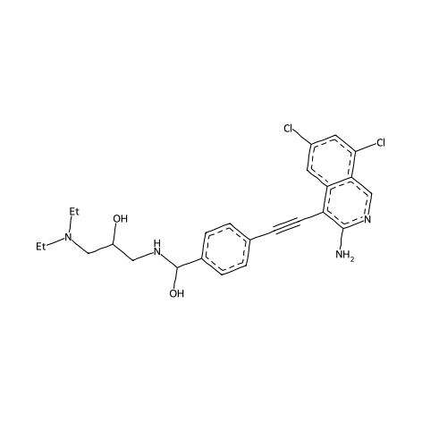 CCN(CC)CC(O)CNC(O)c1ccc(C#Cc2c(N)ncc3c(Cl)cc(Cl)cc23)cc1